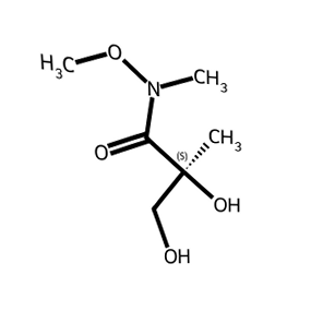 CON(C)C(=O)[C@@](C)(O)CO